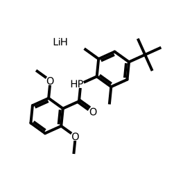 COc1cccc(OC)c1C(=O)Pc1c(C)cc(C(C)(C)C)cc1C.[LiH]